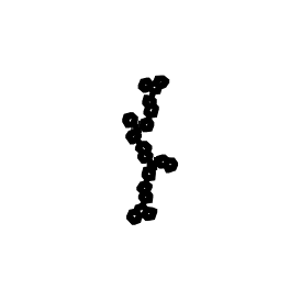 c1ccc(N(c2cccc(-c3ccc4cc(-c5cc6ccccc6c6ccccc56)ccc4c3)c2)c2cccc(-c3ccc4cc(N(c5ccc(-c6ccc7cc(-c8cc9ccccc9c9ccccc89)ccc7c6)cc5)c5ccc6ccccc6c5)ccc4c3)c2)cc1